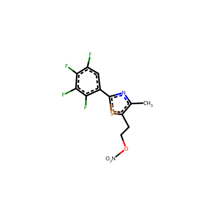 Cc1nc(-c2cc(F)c(F)c(F)c2F)sc1CCO[N+](=O)[O-]